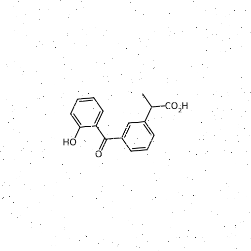 CC(C(=O)O)c1cccc(C(=O)c2ccccc2O)c1